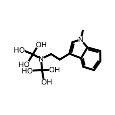 Cn1cc(CCN(C(O)(O)O)C(O)(O)O)c2ccccc21